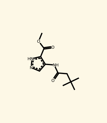 COC(=O)c1[nH]ncc1NC(=O)CC(C)(C)C